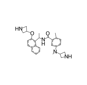 Cc1ccc(N(C)C2CNC2)cc1C(=O)NC(C)c1c(OC2CNC2)ccc2ccccc12